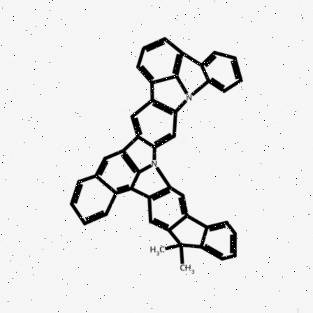 CC1(C)c2ccccc2-c2cc3c(cc21)c1c2ccccc2cc2c4cc5c6cccc7c8ccccc8n(c5cc4n3c21)c76